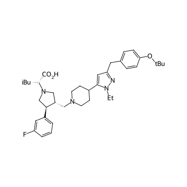 CC[C@@H](C)[C@H](C(=O)O)N1C[C@H](CN2CCC(c3cc(Cc4ccc(OC(C)(C)C)cc4)nn3CC)CC2)[C@@H](c2cccc(F)c2)C1